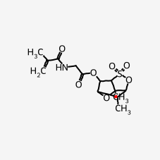 C=C(C)C(=O)NCC(=O)OC1C2OC3(C)C(OS(=O)(=O)C13)C2C